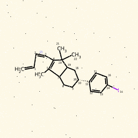 C=C/C=C\C1=C(C)C2CC[C@@H](c3ccc(I)cc3)CC2C1(C)C